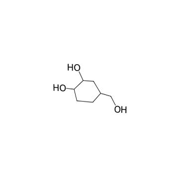 OCC1CCC(O)C(O)C1